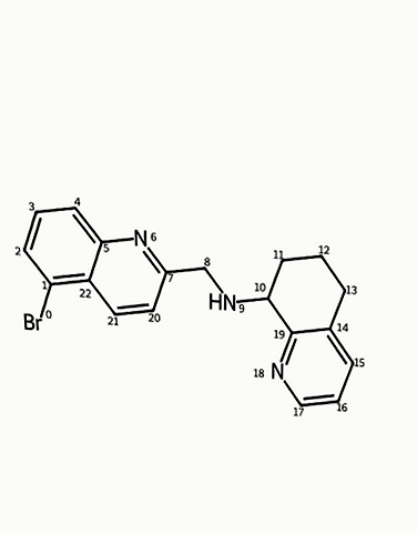 Brc1cccc2nc(CNC3CCCc4cccnc43)ccc12